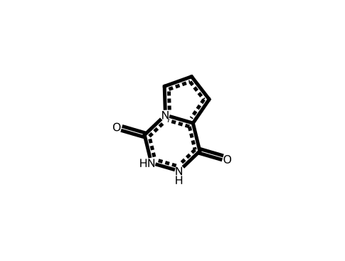 O=c1[nH][nH]c(=O)n2cccc12